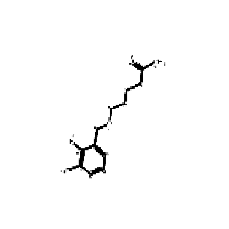 CC(=O)CCCCOCc1cccc(F)c1F